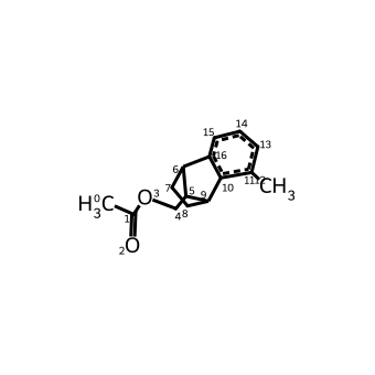 CC(=O)OCC1C2CCC1c1c(C)cccc12